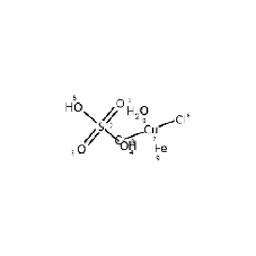 O.O=S(=O)(O)O.[Cl][Cu][Cl].[Fe]